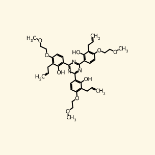 C=CCc1c(OCCOC)ccc(-c2nc(-c3ccc(OCCOC)c(CC=C)c3O)nc(-c3ccc(OCCOC)c(CC=C)c3O)n2)c1O